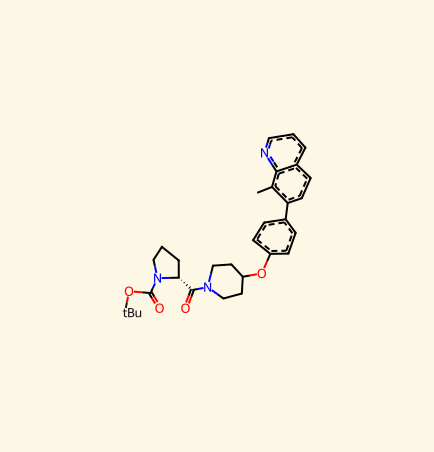 Cc1c(-c2ccc(OC3CCN(C(=O)[C@H]4CCCN4C(=O)OC(C)(C)C)CC3)cc2)ccc2cccnc12